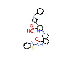 O=C(Nc1nc2ccccc2s1)c1cccc2c1CN(c1ccc(-c3ccn(Cc4ccccc4)c3)c(C(=O)O)n1)CC2